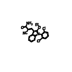 CCOc1c(C=C(C#N)C(N)=O)c2ccccc2n1-c1c(Cl)cccc1Cl